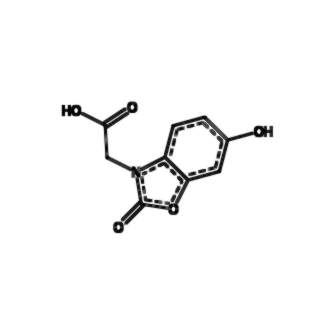 O=C(O)Cn1c(=O)oc2cc(O)ccc21